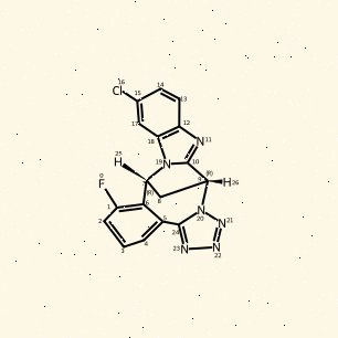 Fc1cccc2c1[C@H]1C[C@H](c3nc4ccc(Cl)cc4n31)n1nnnc1-2